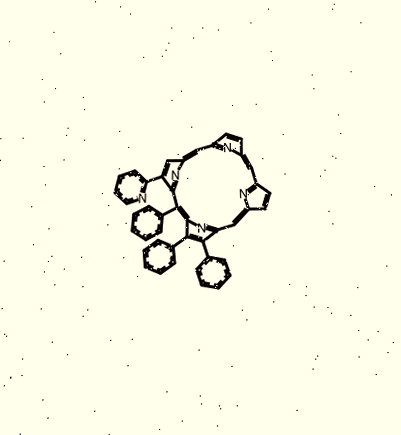 C1=CC2=NC1=CC1=NC(=C(c3ccccc3)C3=NC(=CC4=NC(=C2)C=C4)C=C3c2ccccn2)C(c2ccccc2)=C1c1ccccc1